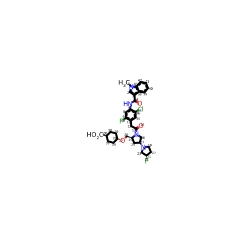 Cn1cc(C(=O)Nc2cc(F)c(CC(=O)N3C[C@@H](N4CC[C@H](F)C4)C[C@H]3CO[C@H]3CC[C@H](C(=O)O)CC3)cc2Cl)c2ccccc21